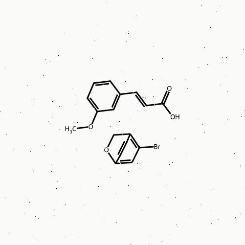 Brc1cc2ccc1CO2.COc1cccc(/C=C/C(=O)O)c1